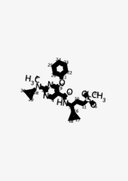 CN(c1ncc(C(=O)NC(C=CS(C)(=O)=O)C2CC2)c(Oc2ccccc2)n1)C1CC1